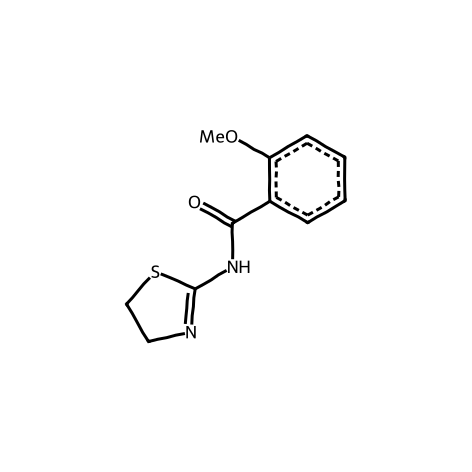 COc1ccccc1C(=O)NC1=NCCS1